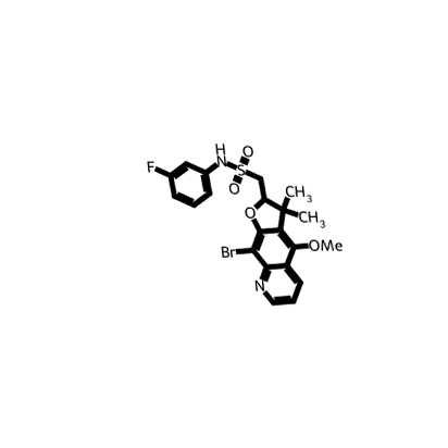 COc1c2c(c(Br)c3ncccc13)OC(CS(=O)(=O)Nc1cccc(F)c1)C2(C)C